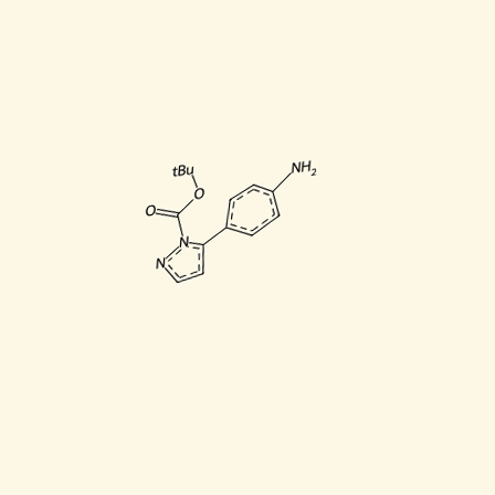 CC(C)(C)OC(=O)n1nccc1-c1ccc(N)cc1